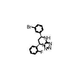 Fc1ccccc1[C@H]1C[C@@H](c2cccc(Br)c2)Nc2nnnn21